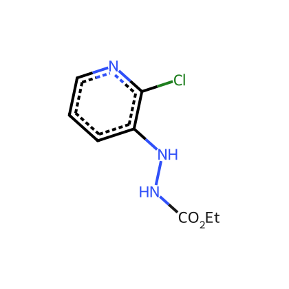 CCOC(=O)NNc1cccnc1Cl